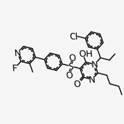 CCCCc1nc(=O)c(S(=O)(=O)c2ccc(-c3ccnc(F)c3C)cc2)c(O)n1C(CC)c1cccc(Cl)c1